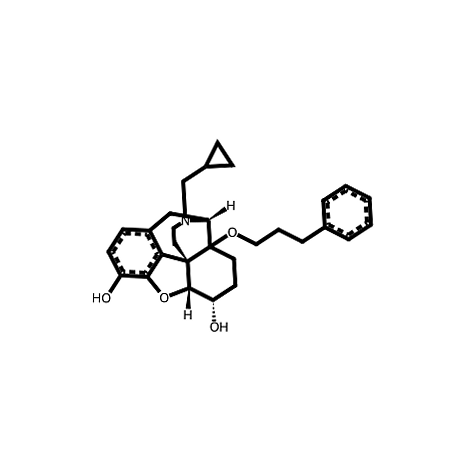 Oc1ccc2c3c1O[C@H]1[C@@H](O)CCC4(OCCCc5ccccc5)[C@@H](C2)N(CC2CC2)CC[C@]314